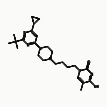 Cc1cn(CCCCN2CCN(c3cc(C4CC4)nc(C(C)(C)C)n3)CC2)c(=O)nc1O